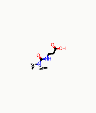 C[Se]N([Se]C)C(=O)NCCC(=O)O